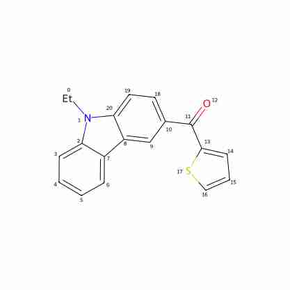 CCn1c2ccccc2c2cc(C(=O)c3cccs3)ccc21